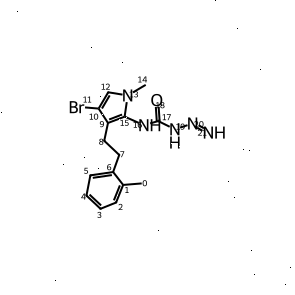 Cc1ccccc1CCc1c(Br)cn(C)c1NC(=O)NN=N